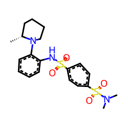 C[C@@H]1CCCCN1c1ccccc1NS(=O)(=O)c1ccc(S(=O)(=O)N(C)C)cc1